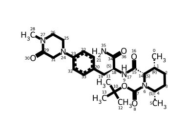 C[C@@H]1CC[C@H](C)N(C(=O)OC(C)(C)C)[C@@H]1C(=O)N[C@@H](Cc1ccc(N2CCN(C)C(=O)C2)cc1)C(N)=O